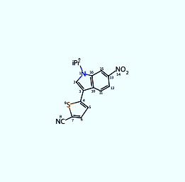 CC(C)n1cc(-c2ccc(C#N)s2)c2ccc([N+](=O)[O-])cc21